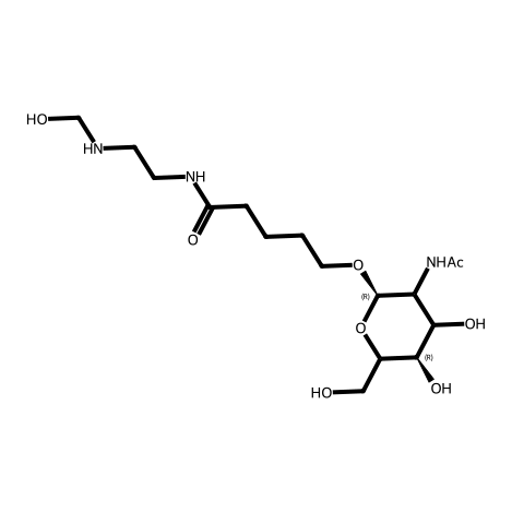 CC(=O)NC1C(O)[C@@H](O)C(CO)O[C@H]1OCCCCC(=O)NCCNCO